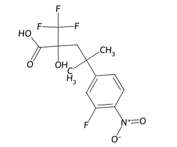 CC(C)(CC(O)(C(=O)O)C(F)(F)F)c1ccc([N+](=O)[O-])c(F)c1